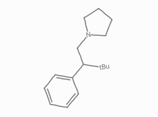 CC(C)(C)C(CN1CCCC1)c1ccccc1